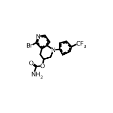 NC(=O)OC1Cc2c(ccnc2Br)N(c2ccc(C(F)(F)F)cc2)C1